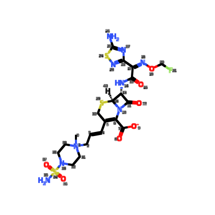 C[N+]1(C/C=C/C2=C(C(=O)[O-])N3C(=O)[C@@H](NC(=O)/C(=N\OCF)c4nsc(N)n4)[C@@H]3SC2)CCN(S(N)(=O)=O)CC1